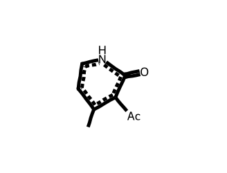 CC(=O)c1c(C)cc[nH]c1=O